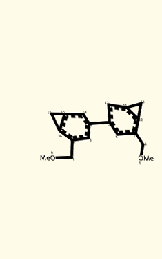 COCc1cc(-c2cc(COC)c3c(c2)C3)cc2c1C2